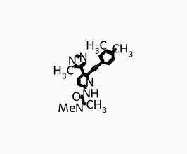 CNC(C)C(=O)Nc1ccc(-c2cncnc2C)c(C#Cc2ccc(C)c(C)c2)n1